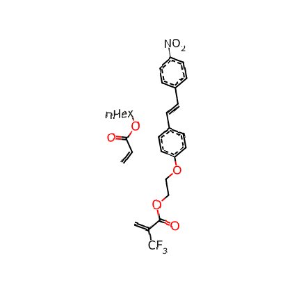 C=C(C(=O)OCCOc1ccc(C=Cc2ccc([N+](=O)[O-])cc2)cc1)C(F)(F)F.C=CC(=O)OCCCCCC